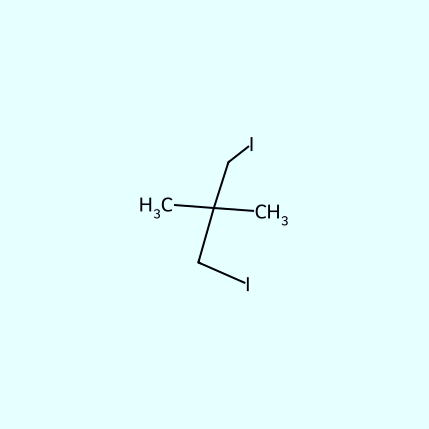 CC(C)(CI)CI